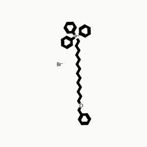 [Br-].c1ccc(COCCCCCCCCCCCCCC[P+](c2ccccc2)(c2ccccc2)c2ccccc2)cc1